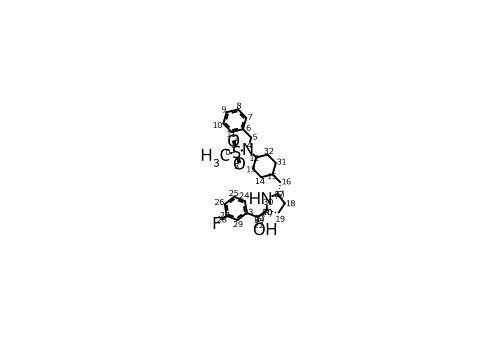 CS(=O)(=O)N(Cc1ccccc1)C1CCC(C[C@@H]2CC[C@H]([C@@H](O)c3cccc(F)c3)N2)CC1